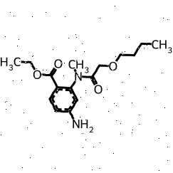 CCCCOCC(=O)N(C)c1cc(N)ccc1C(=O)OCC